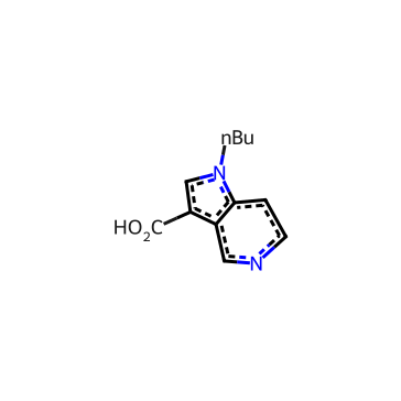 CCCCn1cc(C(=O)O)c2cnccc21